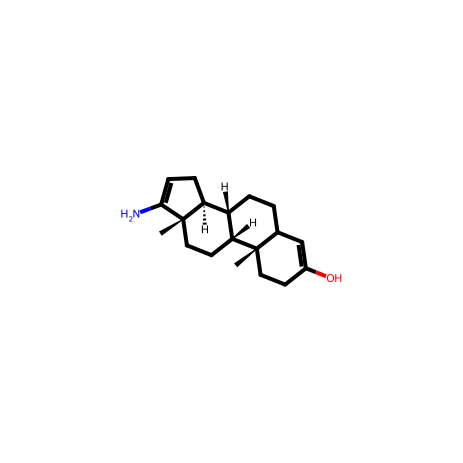 C[C@]12CCC(O)=CC1CC[C@@H]1[C@H]2CC[C@]2(C)C(N)=CC[C@@H]12